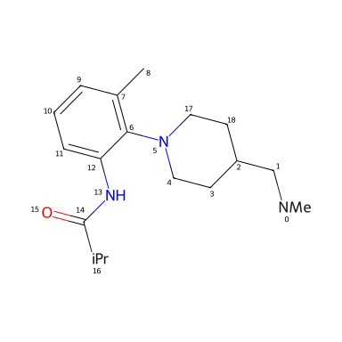 CNCC1CCN(c2c(C)cccc2NC(=O)C(C)C)CC1